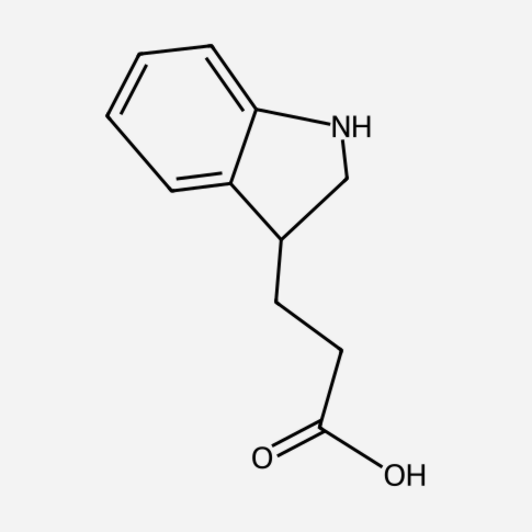 O=C(O)CCC1CNc2ccccc21